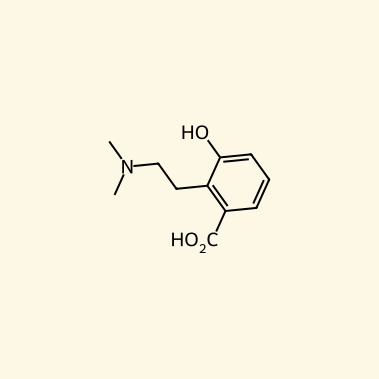 CN(C)CCc1c(O)cccc1C(=O)O